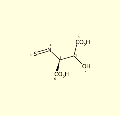 O=C(O)C(O)[C@H](N=S)C(=O)O